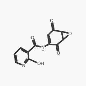 O=C(NC1=CC(=O)C2OC2C1=O)c1cccnc1O